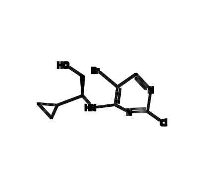 OC[C@@H](Nc1nc(Cl)ncc1Br)C1CC1